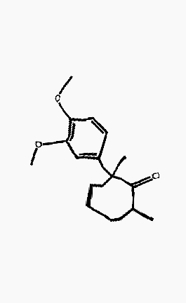 COc1ccc(C2(C)CCCC(C)C2=O)cc1OC